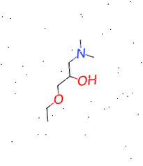 CCOCC(O)CN(C)C